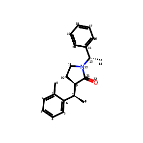 Cc1ccccc1[C@H](C)[C@H]1CCN([C@@H](C)c2ccccc2)C1=O